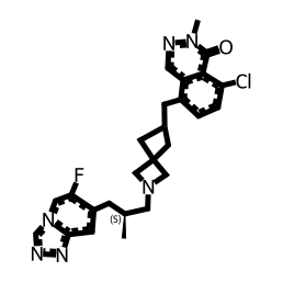 C[C@@H](Cc1cc2nncn2cc1F)CN1CC2(CC(Cc3ccc(Cl)c4c(=O)n(C)ncc34)C2)C1